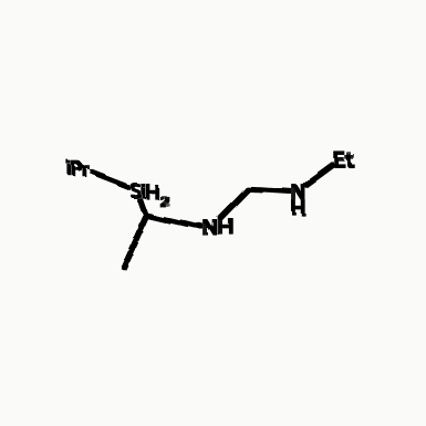 CCNCNC(C)[SiH2]C(C)C